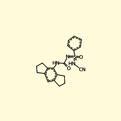 N#CN[S@](=O)(=NC(=O)Nc1c2c(cc3c1CCC3)CCC2)c1ccccc1